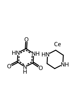 C1CNCCN1.O=c1[nH]c(=O)[nH]c(=O)[nH]1.[Ce]